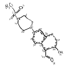 CS(=O)(=O)N1CCN(c2ccc3c(C=O)c(O)ccc3c2)CC1